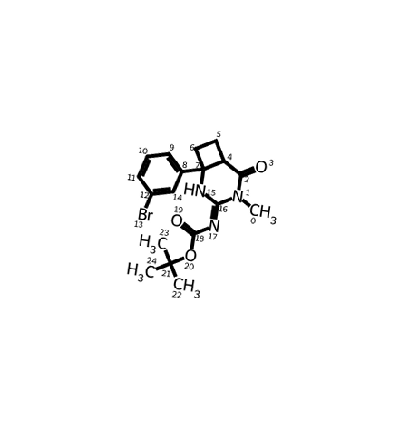 CN1C(=O)C2CCC2(c2cccc(Br)c2)N/C1=N\C(=O)OC(C)(C)C